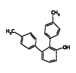 Cc1ccc(-c2cccc(O)c2-c2ccc(C)cc2)cc1